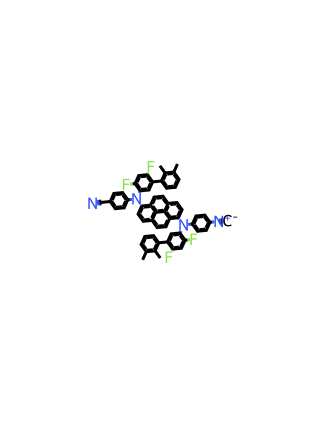 [C-]#[N+]c1ccc(N(c2cc(-c3cccc(C)c3C)c(F)cc2F)c2ccc3ccc4c(N(c5ccc(C#N)cc5)c5cc(-c6cccc(C)c6C)c(F)cc5F)ccc5ccc2c3c54)cc1